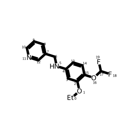 CCOc1cc(NCc2cccnc2)ccc1OC(F)F